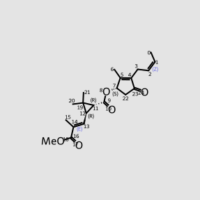 C/C=C\CC1=C(C)[C@@H](OC(=O)[C@@H]2[C@@H](/C=C(\C)C(=O)OC)C2(C)C)CC1=O